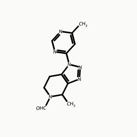 Cc1cc(-n2nnc3c2CCN(C=O)C3C)ncn1